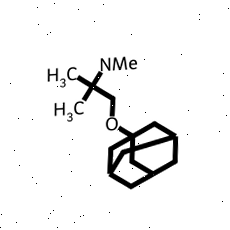 CNC(C)(C)COC12CC3CC(CC(C3)C1)C2